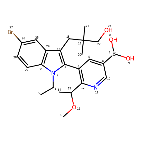 CCn1c(-c2cc(B(O)O)cnc2C(C)OC)c(CC(C)(C)CO)c2cc(Br)ccc21